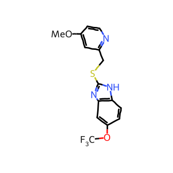 COc1ccnc(CSc2nc3cc(OC(F)(F)F)ccc3[nH]2)c1